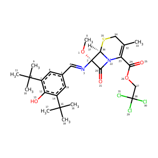 CO[C@@]1(/N=C/c2cc(C(C)(C)C)c(O)c(C(C)(C)C)c2)C(=O)N2C(C(=O)OCC(Cl)(Cl)Cl)=C(C)CS[C@@H]21